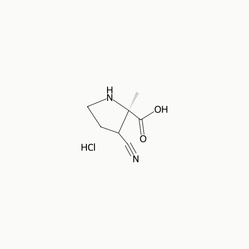 C[C@@]1(C(=O)O)NCCC1C#N.Cl